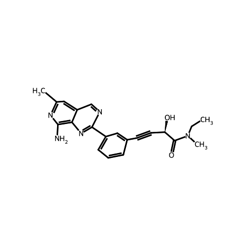 CCN(C)C(=O)[C@H](O)C#Cc1cccc(-c2ncc3cc(C)nc(N)c3n2)c1